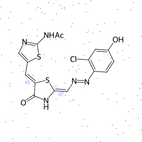 CC(=O)Nc1ncc(/C=c2\s/c(=C\N=Nc3ccc(O)cc3Cl)[nH]c2=O)s1